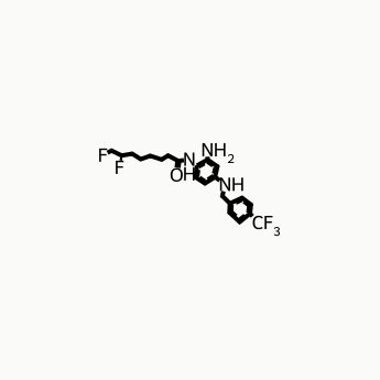 Nc1cc(NCc2ccc(C(F)(F)F)cc2)ccc1NC(=O)CCCCC[C@@H](F)CF